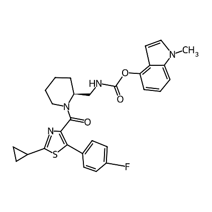 Cn1ccc2c(OC(=O)NC[C@@H]3CCCCN3C(=O)c3nc(C4CC4)sc3-c3ccc(F)cc3)cccc21